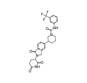 O=C1CCC(N2Cc3cc(C4CCCN(C(=O)Nc5cccc(C(F)(F)F)c5)C4)ccc3C2=O)C(=O)N1